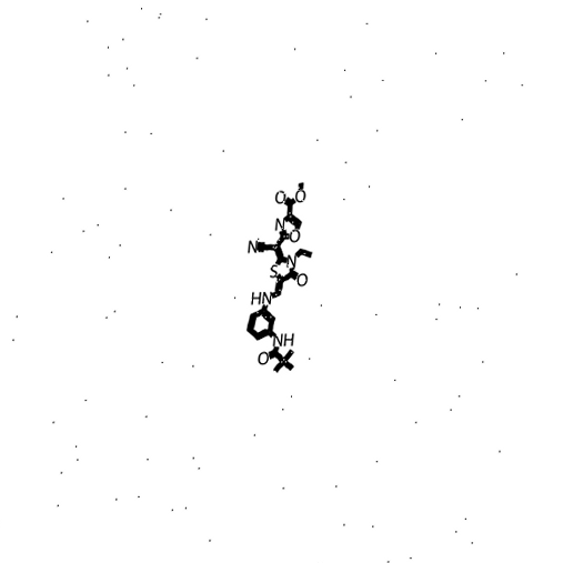 CCn1c(=C(C#N)c2nc(C(=O)OC)co2)sc(=CNc2cccc(NC(=O)C(C)(C)C)c2)c1=O